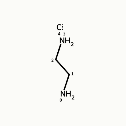 NCCN.[C]